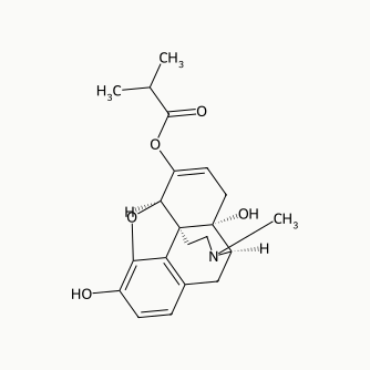 CC(C)C(=O)OC1=CC[C@@]2(O)[C@H]3Cc4ccc(O)c5c4[C@@]2(CCN3C)[C@H]1O5